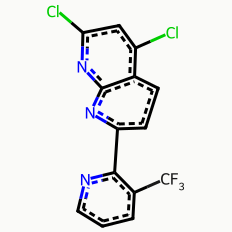 FC(F)(F)c1cccnc1-c1ccc2c(Cl)cc(Cl)nc2n1